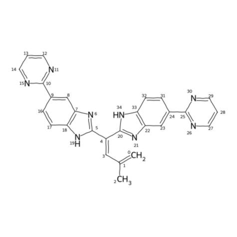 C=C(C)C=C(c1nc2cc(-c3ncccn3)ccc2[nH]1)c1nc2cc(-c3ncccn3)ccc2[nH]1